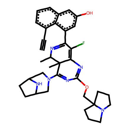 C#Cc1cccc2cc(O)cc(C3=NC(C)C4(C)C(N5CC6CCC(C5)N6)=NC(OCC56CCCN5CCC6)=NC4=C3F)c12